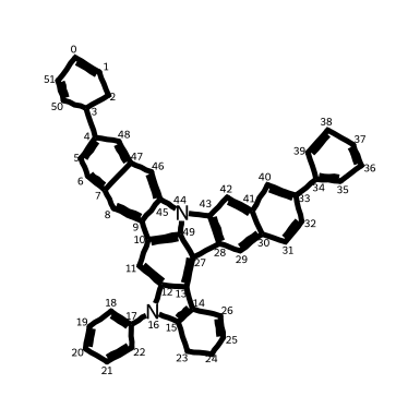 C1=CCC(c2ccc3cc4c5cc6c(c7c(n6-c6ccccc6)CCC=C7)c6c7cc8ccc(-c9ccccc9)cc8cc7n(c4cc3c2)c56)C=C1